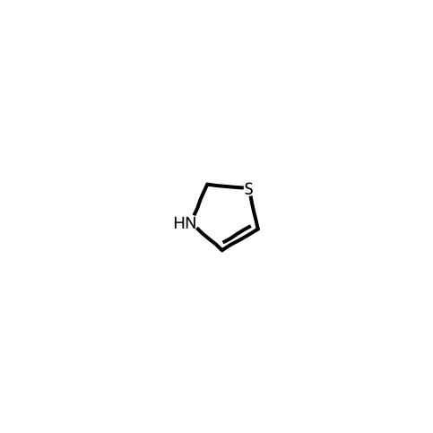 C1=CSCN1